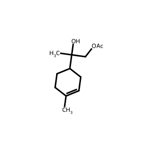 CC(=O)OCC(C)(O)C1CC=C(C)CC1